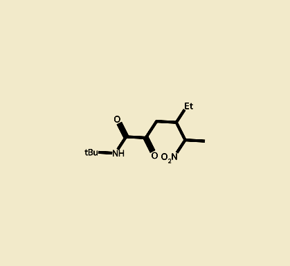 CCC(CC(=O)C(=O)NC(C)(C)C)C(C)[N+](=O)[O-]